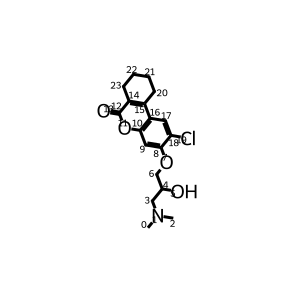 CN(C)CC(O)COc1cc2oc(=O)c3c(c2cc1Cl)CCCC3